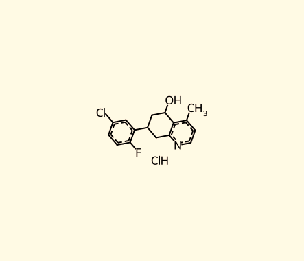 Cc1ccnc2c1C(O)CC(c1cc(Cl)ccc1F)C2.Cl